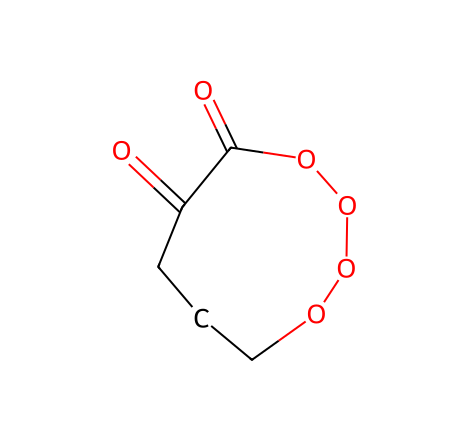 O=C1CCCOOOOC1=O